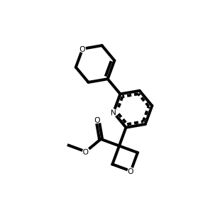 COC(=O)C1(c2cccc(C3=CCOCC3)n2)COC1